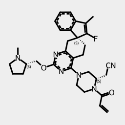 C=CC(=O)N1CCN(c2nc(OC[C@@H]3CCCN3C)nc3c2CC[C@@]2(C3)C(F)=C(C)c3ccccc32)C[C@@H]1CC#N